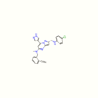 COc1ccccc1CN(C)c1cc(-c2cn[nH]c2)n2nc(CNc3ccc(Cl)cc3)cc2n1